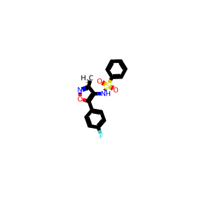 Cc1noc(-c2ccc(F)cc2)c1NS(=O)(=O)c1ccccc1